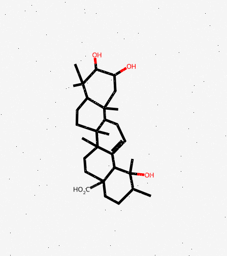 CC1CCC2(C(=O)O)CCC3(C)C(=CCC4C5(C)CC(O)C(O)C(C)(C)C5CCC43C)C2C1(C)O